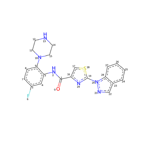 O=C(Nc1cc(F)ccc1N1CCNCC1)c1csc(-n2ncc3ccccc32)n1